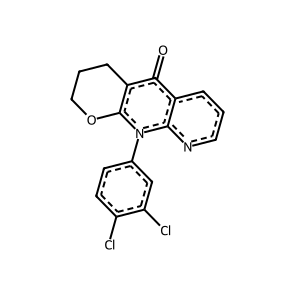 O=c1c2c(n(-c3ccc(Cl)c(Cl)c3)c3ncccc13)OCCC2